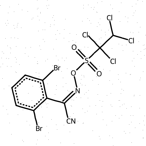 N#C/C(=N/OS(=O)(=O)C(Cl)(Cl)C(Cl)Cl)c1c(Br)cccc1Br